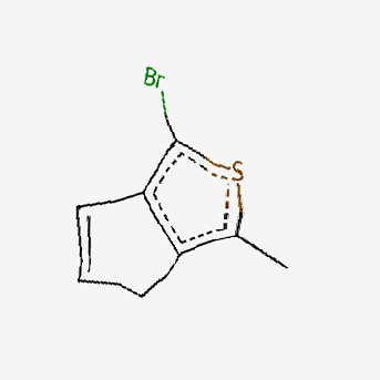 Cc1sc(Br)c2c1CC=C2